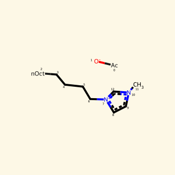 CC(=O)[O-].CCCCCCCCCCCC[n+]1ccn(C)c1